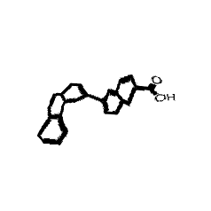 O=C(O)c1ccc2cc(-c3ccc4ccc5ccccc5c4c3)ccc2c1